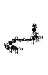 Cc1cnc(Nc2ccc(N3CCN(C(=O)CCOCCOCCOCCC(=O)N[C@H](C(=O)N4C[C@H](O)C[C@H]4C(=O)NCc4ccc(-c5scnc5C)cc4)C(C)(C)C)CC3)cc2)nc1Nc1cccc(S(=O)(=O)NC(C)(C)C)c1